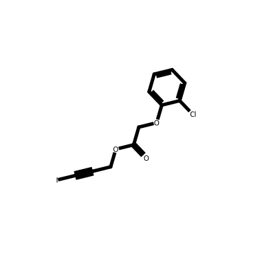 O=C(COc1ccccc1Cl)OCC#CI